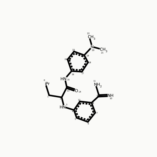 CC(C)CC(Nc1cccc(C(=N)N)c1)C(=O)Nc1ccc(N(C)C)cc1